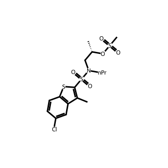 CCCN(C[C@H](C)OS(C)(=O)=O)S(=O)(=O)c1sc2ccc(Cl)cc2c1C